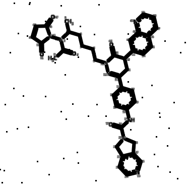 CC(=O)N(C(C)CCCCN1N=C(c2ccc(NC(=O)N3Cc4ccncc4C3)cc2)CC(c2ccc3cccnc3c2)C1=O)N1C(=O)C=CC1=O